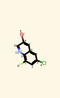 Fc1cc(Cl)cc2cc(Br)cnc12